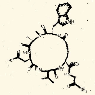 CC(C)C1NC(=O)[C@@H](CC(=O)O)NC(=O)[C@H](C)N(C)C(=O)[C@H](Cc2c[nH]c3ccccc23)NC(=O)CSC[C@@H](C(=O)NCC(N)=O)NC1=O